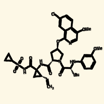 C=C[C@@H]1C[C@]1(NC(=O)[C@@H]1C[C@@H](Oc2ncc(OC)c3ccc(Cl)cc23)CN1C(=O)[C@H](Nc1cccc(OC)c1)C(C)(C)C)C(=O)NS(=O)(=O)C1CC1